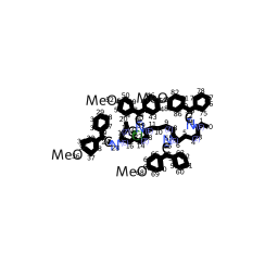 C/C=C(\C=C/C/C=C(\C=C/C/C=C(\C=C/C/C=C(\C=C(\C)CCl)N=C=C(c1ccccc1)c1ccc(OC)cc1)N=C=C(c1ccccc1)c1ccc(OC)cc1)N=C=C(c1ccccc1)c1ccc(OC)cc1)N=C=C(c1ccccc1)c1ccc(OC)cc1